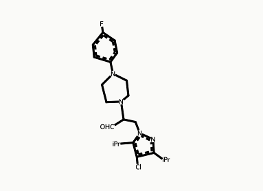 CC(C)c1nn(CC(C=O)N2CCN(c3ccc(F)cc3)CC2)c(C(C)C)c1Cl